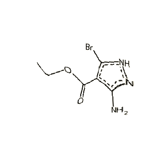 CCOC(=O)c1c(N)n[nH]c1Br